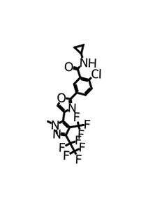 Cn1nc(C(F)(F)C(F)(F)F)c(C(F)(F)F)c1-c1coc(-c2ccc(Cl)c(C(=O)NC3CC3)c2)n1